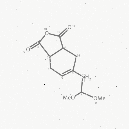 COC(OC)[SiH2]C1=CCC2C(=O)OC(=O)C2C1